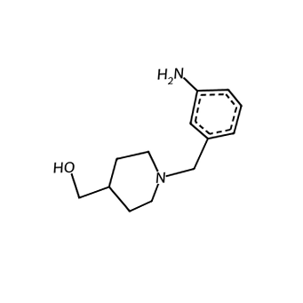 Nc1cccc(CN2CCC(CO)CC2)c1